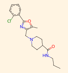 CCCNC(=O)C1CCN(Cc2nc(-c3ccccc3Cl)oc2C)CC1